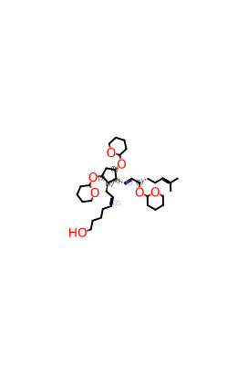 CC(C)=CCC[C@@H](/C=C/[C@@H]1[C@@H](C/C=C\CCCCO)[C@@H](OC2CCCCO2)C[C@H]1OC1CCCCO1)OC1CCCCO1